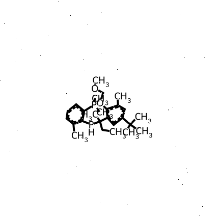 CCC(C)(Pc1c(C)cccc1P(C)C)c1cc(C(C)(C)C)cc(C)c1OCOC